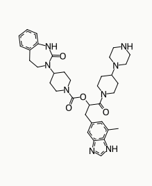 Cc1cc(CC(OC(=O)N2CCC(N3CCc4ccccc4NC3=O)CC2)C(=O)N2CCC(N3CCNCC3)CC2)cc2nc[nH]c12